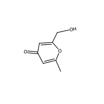 Cc1cc(=O)cc(CO)o1